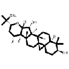 CC(=O)OC(C)(C)[C@H]1C[C@@H](C)[C@H]2[C@H](O1)[C@H](O)[C@@]1(C)[C@@H]3CC[C@H]4C(C)(C)[C@@H](O)CCC45C[C@@]35CC[C@]21C